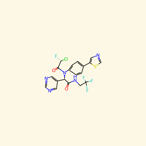 O=C(NCC(F)(F)F)[C@@H](c1cncnc1)N(C(=O)[C@H](F)Cl)c1ccc(-c2cncs2)cc1